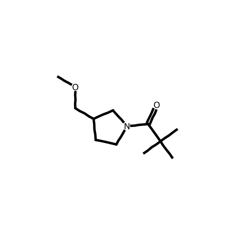 COCC1CCN(C(=O)C(C)(C)C)C1